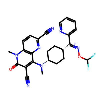 Cn1c(=O)c(C#N)c(N(C)[C@H]2CC[C@@H](/C(=N\OC(F)F)c3ccccn3)CC2)c2nc(C#N)ccc21